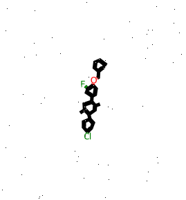 Cc1cc(-c2ccc(OCc3ccccc3)c(F)c2)c(C)cc1-c1ccc(Cl)cc1